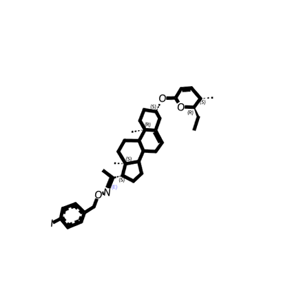 CC[C@H]1OC(O[C@H]2CC[C@@]3(C)C(=CCC4C3CC[C@@]3(C)C4CC[C@@H]3/C(C)=N/OCc3ccc(I)cc3)C2)C=C[C@@H]1C